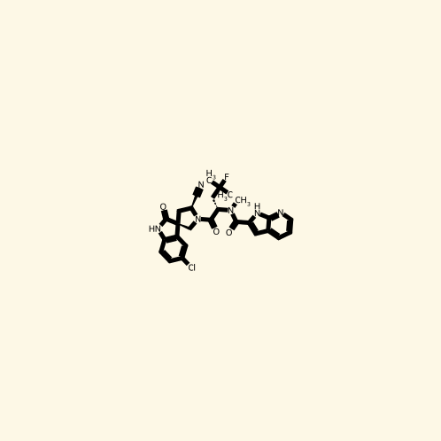 CN(C(=O)c1cc2cccnc2[nH]1)[C@@H](CC(C)(C)F)C(=O)N1C[C@]2(C[C@H]1C#N)C(=O)Nc1ccc(Cl)cc12